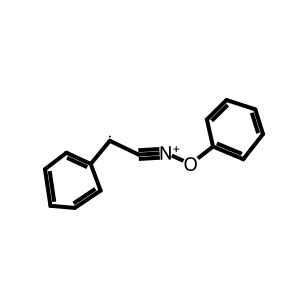 C([CH]c1ccccc1)#[N+]Oc1ccccc1